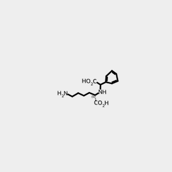 NCCCC[C@H](NC(C(=O)O)c1ccccc1)C(=O)O